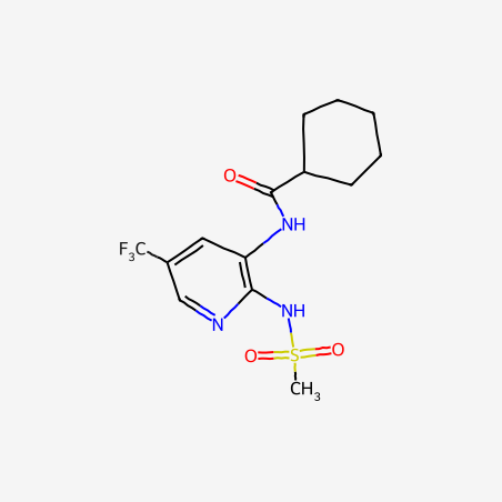 CS(=O)(=O)Nc1ncc(C(F)(F)F)cc1NC(=O)C1CCCCC1